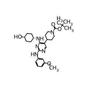 COc1cccc(Nc2ncc(C3CCN(C(=O)OC(C)(C)C)CC3)c(N[C@H]3CC[C@H](O)CC3)n2)c1